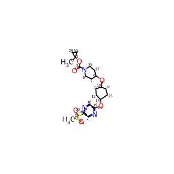 CC1(OC(=O)N2CCC(OC3CCC(Oc4cnc(S(C)(=O)=O)cn4)CC3)CC2)CC1